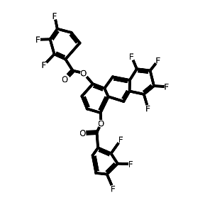 O=C(Oc1ccc(OC(=O)c2ccc(F)c(F)c2F)c2cc3c(F)c(F)c(F)c(F)c3cc12)c1ccc(F)c(F)c1F